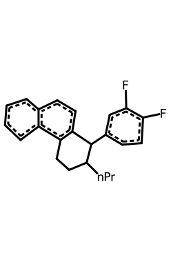 CCCC1CCc2c(ccc3ccccc23)C1c1ccc(F)c(F)c1